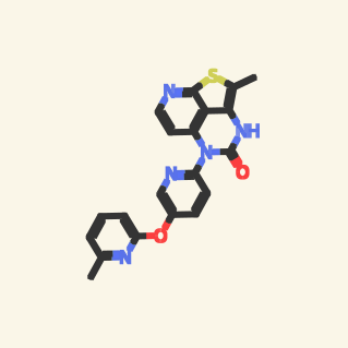 Cc1cccc(Oc2ccc(N3C(=O)Nc4c(C)sc5nccc3c45)nc2)n1